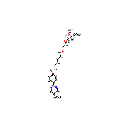 CCCCCCCCc1cnc(-c2ccc(OCCCCCCOCCOC(F)(F)C(F)(OC)OCC)cc2)nc1